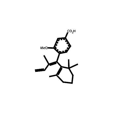 C=C/C(C)=C(\C1=C(C)CCCC1(C)C)c1ccc(C(=O)O)cc1OC